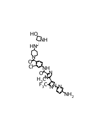 Cn1c(-c2cn(-c3ccc(N)cn3)nc2C(F)(F)F)cnc1C(=O)Nc1ccc(C(=O)N2CCC(NC[C@@H]3C[C@@H](O)CN3)CC2)c(Cl)c1